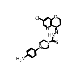 Nc1ccc(N2CCN(C(=S)N/N=C3/CCOc4cc(Cl)cnc43)CC2)cc1